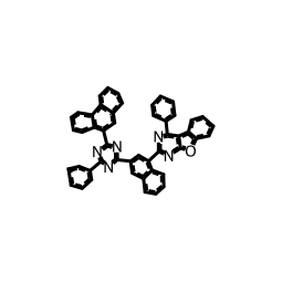 c1ccc(-c2nc(-c3cc(-c4nc(-c5ccccc5)c5c(n4)oc4ccccc45)c4ccccc4c3)nc(-c3cc4ccccc4c4ccccc34)n2)cc1